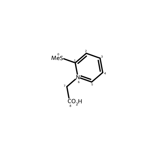 CSc1cccc[n+]1CC(=O)O